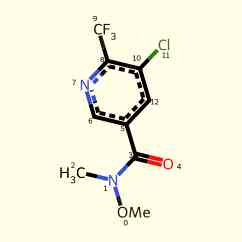 CON(C)C(=O)c1cnc(C(F)(F)F)c(Cl)c1